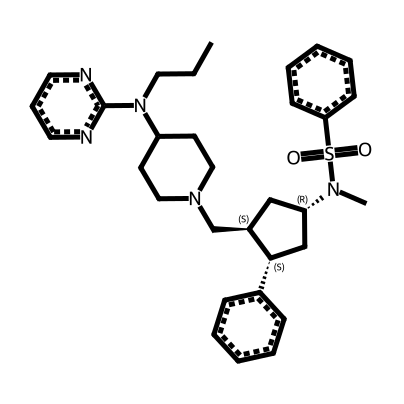 CCCN(c1ncccn1)C1CCN(C[C@H]2C[C@H](N(C)S(=O)(=O)c3ccccc3)C[C@@H]2c2ccccc2)CC1